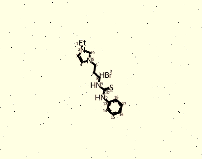 Br.CCN1C=CN(CCCNC(=S)Nc2ccccc2)C1